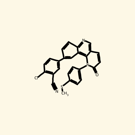 CSc1ccc(-n2c(=O)ccc3cnc4ccc(-c5ccc(Cl)c(C#N)c5)cc4c32)cc1